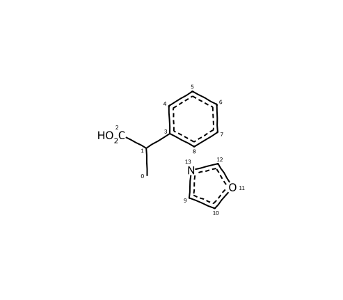 CC(C(=O)O)c1ccccc1.c1cocn1